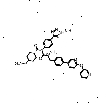 Cl.NC[C@H]1CC[C@H](C(=O)N(C(=O)[C@@H](N)Cc2ccc(-c3ccc(Oc4cccnc4)nc3)cc2)c2ccc(-c3nn[nH]n3)cc2)CC1